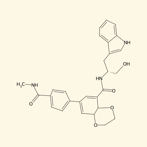 CNC(=O)c1ccc(C2=CC3OCCOC3C(C(=O)N[C@@H](CO)Cc3c[nH]c4ccccc34)=C2)cc1